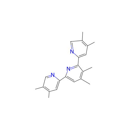 Cc1cnc(-c2cc(C)c(C)c(-c3cc(C)c(C)cn3)n2)cc1C